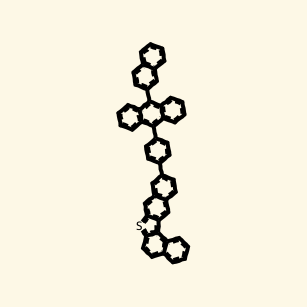 c1ccc2cc(-c3c4ccccc4c(-c4ccc(-c5ccc6cc7c(cc6c5)sc5ccc6ccccc6c57)cc4)c4ccccc34)ccc2c1